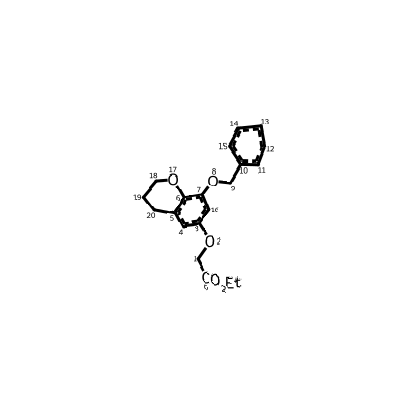 CCOC(=O)COc1cc2c(c(OCc3ccccc3)c1)OCCC2